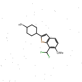 CCCC1CCC(c2cc3ccc(OC)c(C(F)F)c3s2)CC1